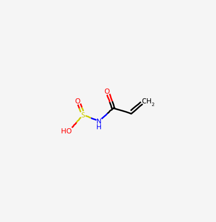 C=CC(=O)NS(=O)O